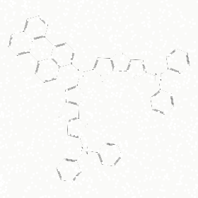 c1ccc(N(c2ccccc2)c2cc3sc4cc(N(c5cc6sc7cc(N(c8ccccc8)c8ccccc8)sc7c6s5)c5ccc6c7cccc8cccc(c9cccc5c96)c87)sc4c3s2)cc1